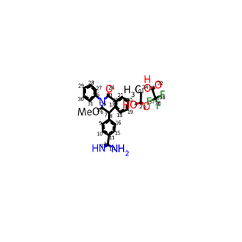 CCC(=O)O.COC1C(c2ccc(C(=N)N)cc2)c2ccccc2C(=O)N1c1ccccc1.O=C(O)C(F)(F)F